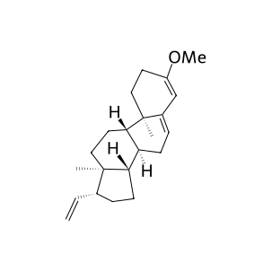 C=C[C@H]1CC[C@H]2[C@@H]3CC=C4C=C(OC)CC[C@]4(C)[C@H]3CC[C@]12C